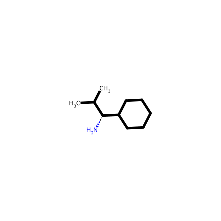 CC(C)[C@@H](N)C1CCCCC1